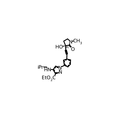 CCOC(=O)c1nn(-c2cccc(C#C[C@]3(O)CCN(C)C3=O)c2)cc1NCC(C)C